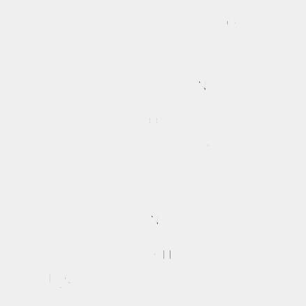 C=C/C=C1/C=CC(C2(C(=O)N3CCOCC3)CCC2)=CN1C